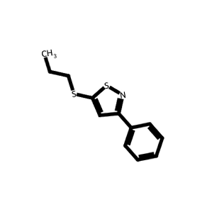 CCCSc1cc(-c2ccccc2)ns1